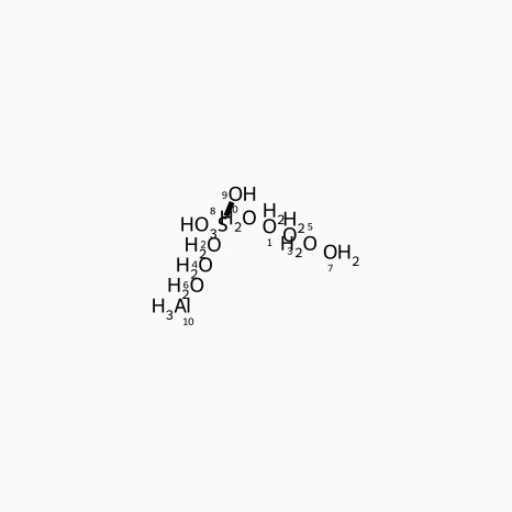 O.O.O.O.O.O.O.O.O=S(=O)(O)O.[AlH3]